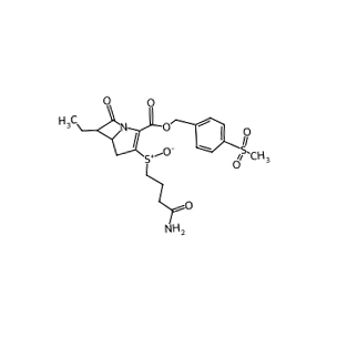 CCC1C(=O)N2C(C(=O)OCc3ccc(S(C)(=O)=O)cc3)=C([S+]([O-])CCCC(N)=O)CC12